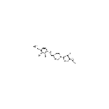 CCOc1ccc(C2CCC(COc3ccc(CO)c(F)c3F)CC2)cc1F